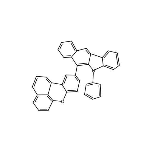 c1ccc(-n2c3ccccc3c3cc4ccccc4c(-c4ccc5c(c4)-c4cccc6cccc(c46)O5)c32)cc1